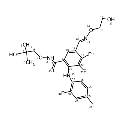 CC(C)(O)CONC(=O)c1cc(C=NOCCO)c(F)c(F)c1Nc1ccc(I)cc1F